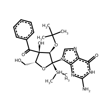 C[SiH](C)[C@@]1(n2cnc3c(=O)[nH]c(N)nc32)O[C@H](CO)[C@](O)(C(=O)c2ccccc2)[C@H]1OC(C)(C)C